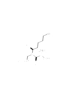 CCOC(=O)CN(C(=O)OC(C)(C)C)C(=O)[C@@H](N)CCCN